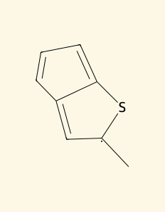 C[C]1C=C2C=CC=C2S1